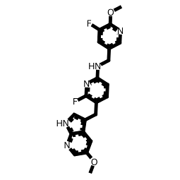 COc1cnc2[nH]cc(Cc3ccc(NCc4cnc(OC)c(F)c4)nc3F)c2c1